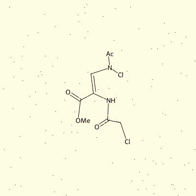 COC(=O)C(=CN(Cl)C(C)=O)NC(=O)CCl